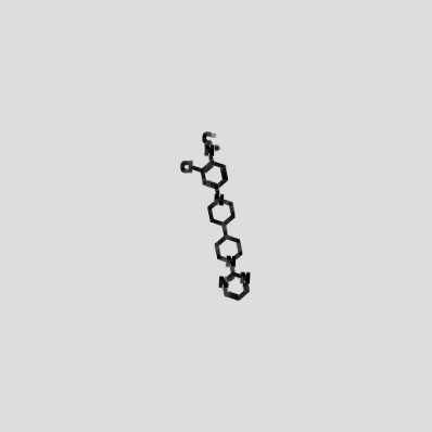 [C-]#[N+]c1ccc(N2CCC(C3CCN(c4ncccn4)CC3)CC2)cc1Cl